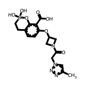 Cc1cn(CC(=O)N2CC(Oc3ccc4c(c3C(=O)O)O[B-](O)(O)CC4)C2)nn1